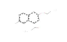 COCBr.COCOc1ccc2cc(C=O)ccc2c1